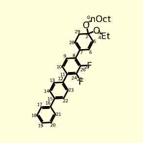 CCCCCCCCOC1(OCC)C=CC(c2ccc(-c3ccc(-c4ccccc4)cc3)c(F)c2F)=CC1